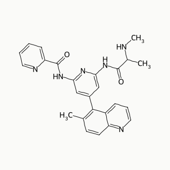 CNC(C)C(=O)Nc1cc(-c2c(C)ccc3ncccc23)cc(NC(=O)c2ccccn2)n1